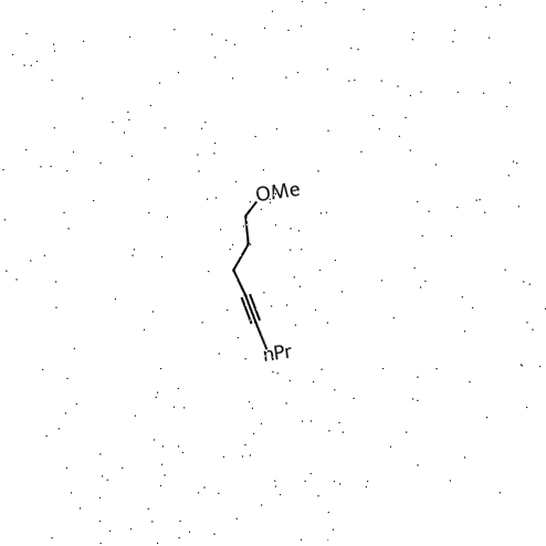 [CH2]CCC#CCCCOC